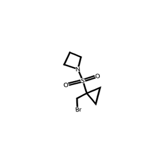 O=S(=O)(N1CCC1)C1(CBr)CC1